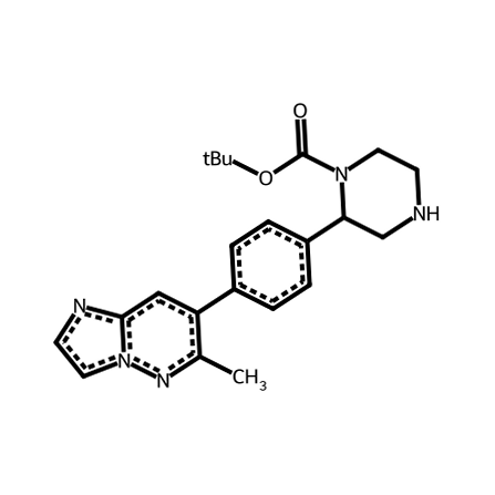 Cc1nn2ccnc2cc1-c1ccc(C2CNCCN2C(=O)OC(C)(C)C)cc1